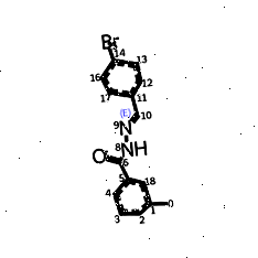 Cc1cccc(C(=O)N/N=C/c2ccc(Br)cc2)c1